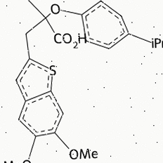 COc1cc2cc(CC(C)(Oc3ccc(C(C)C)cc3)C(=O)O)sc2cc1OC